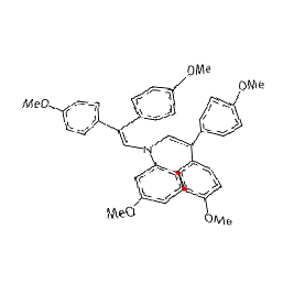 COc1ccc(C(=CN(C=C(c2ccc(OC)cc2)c2ccc(OC)cc2)c2cccc(OC)c2)c2ccc(OC)cc2)cc1